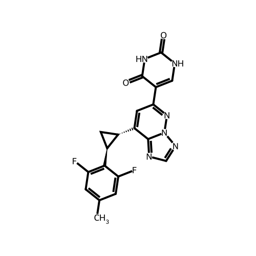 Cc1cc(F)c([C@H]2C[C@@H]2c2cc(-c3c[nH]c(=O)[nH]c3=O)nn3ncnc23)c(F)c1